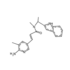 Cc1cc(C=CC(=O)N(C)C(C)c2cc3ccccc3[nH]2)cnc1N